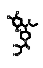 CCNC(c1cc(Cl)c(Cl)cc1O)C1CCN(C(=O)C(O)CO)CC1